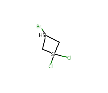 Cl[Si]1(Cl)C[SiH](Br)C1